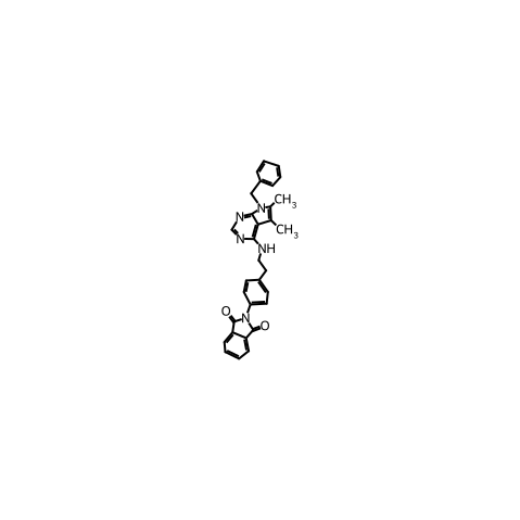 Cc1c(C)n(Cc2ccccc2)c2ncnc(NCCc3ccc(N4C(=O)c5ccccc5C4=O)cc3)c12